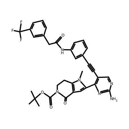 Cn1c(-c2nc(N)ncc2C#Cc2cccc(NC(=O)Cc3cccc(C(F)(F)F)c3)c2)cc2c1CCN(C(=O)OC(C)(C)C)C2=O